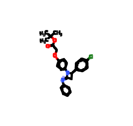 CC(C)(C)OC(=O)COc1ccc(N2/C(=N/c3ccccc3)CC2c2ccc(Cl)cc2)cc1